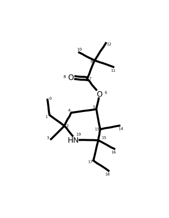 CCC1(C)CC(OC(=O)C(C)(C)C)C(C)C(C)(CC)N1